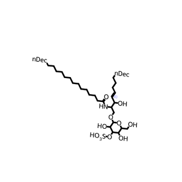 CCCCCCCCCCCCC/C=C/C(O)C(COC1OC(CO)C(O)C(OS(=O)(=O)O)C1O)NC(=O)CCCCCCCCCCCCCCCCCCCCCCC